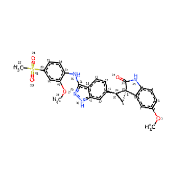 COc1ccc2c(c1)[C@]1(C[C@H]1c1ccc3c(Nc4ccc(S(C)(=O)=O)cc4OC)n[nH]c3c1)C(=O)N2